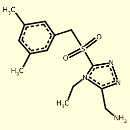 CCn1c(CN)nnc1S(=O)(=O)Cc1cc(C)cc(C)c1